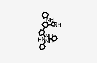 C1CCC(NC2CCC(C3CCCC(C4NC(C5CCCCC5)NC(C5CCCCC5)N4)C3)CC2C2CCNC2)CC1